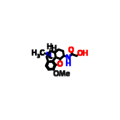 COc1ccc2c3c1OC1C(NC(=O)CO)CC[C@@H]4[C@H](C2)N(C)CC[C@@]314